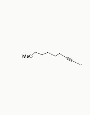 [CH2]C#CCCCCCOC